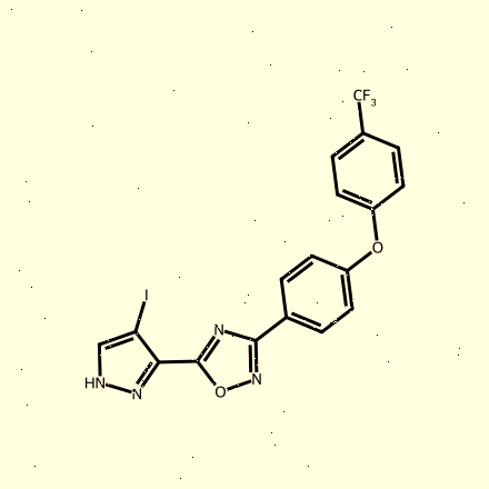 FC(F)(F)c1ccc(Oc2ccc(-c3noc(-c4n[nH]cc4I)n3)cc2)cc1